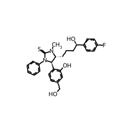 CN1C(=S)N(c2ccccc2)[C@H](c2ccc(CO)cc2O)[C@H]1CCC[C@@H](O)c1ccc(F)cc1